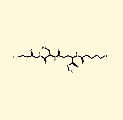 CCCCCC(=O)NC(CCC(=O)NC(CS)C(=O)NCC(=O)OCC)C(=O)OC